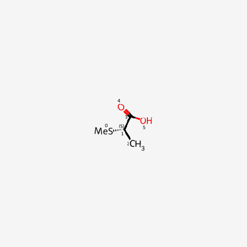 CS[C@@H](C)C(=O)O